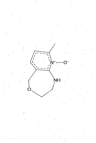 Cc1ccc2c([n+]1[O-])NCCOC2